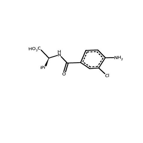 CC(C)[C@H](NC(=O)c1ccc(N)c(Cl)c1)C(=O)O